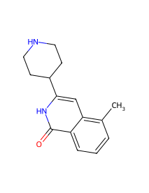 Cc1cccc2c(=O)[nH]c(C3CCNCC3)cc12